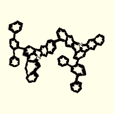 c1ccc(-c2ccc(-c3cc4c5cc6ccccc6cc5n5c6cc7cccc(-c8ccc9cc%10c(cc9c8)c8cc(-c9cc(-c%11ccccc%11)ccc9-c9ccccc9)cc9c%11cc%12ccccc%12cc%11n%10c98)c7cc6c(c3)c45)c(-c3ccccc3)c2)cc1